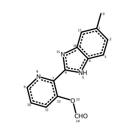 Cc1ccc2[nH]c(-c3ncccc3OC=O)nc2c1